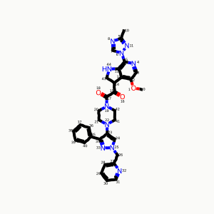 COc1cnc(-n2cnc(C)n2)c2c1C(C(=O)C(=O)N1CCN(c3cn(Cc4ccccn4)nc3-c3ccccc3)CC1)CN2